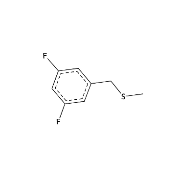 CSCc1cc(F)cc(F)c1